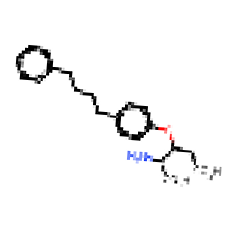 N[C@H](C(=O)O)C(CC(=O)O)Oc1ccc(CCCCc2ccccc2)cc1